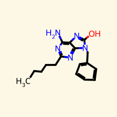 CCCCCc1nc(N)c2nc(O)n(Cc3ccccc3)c2n1